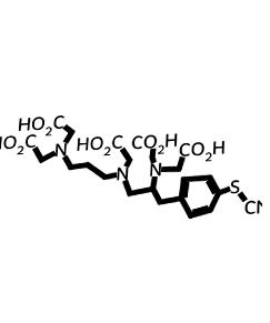 N#CSc1ccc(CC(CN(CCCN(CC(=O)O)CC(=O)O)CC(=O)O)N(CC(=O)O)CC(=O)O)cc1